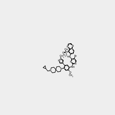 COc1cc(N2CCC3(CCN(CC4CC4)CC3)CC2)c(-c2cnn(C)c2)cc1Nc1ncc(Br)c(Nc2ccc3nccnc3c2P(C)(C)=O)n1